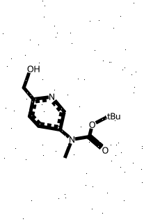 CN(C(=O)OC(C)(C)C)c1ccc(CO)nc1